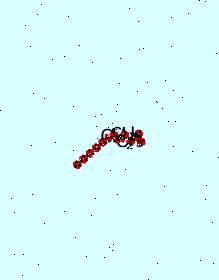 C=C(/C=C(\C=C/C)c1ccc2oc3c(-c4cccc(-n5c6ccccc6c6ccccc65)c4)cccc3c2c1)c1ccc(-c2ccc(-c3ccc(-c4ccc(-c5ccccc5)cc4)cc3)cc2)cc1